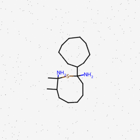 CC1CCCCCC(N)(C2CCCCCCCC2)SC1(C)N